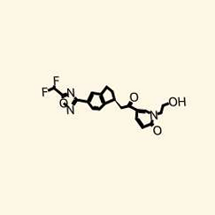 O=C(C[C@@H]1CCc2cc(-c3noc(C(F)F)n3)ccc21)c1ccc(=O)n(CCO)c1